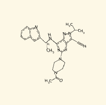 CC(=O)N1CCN(c2nc(N[C@H](C)c3cnc4ccccc4c3)c3nn(C(C)C)c(C#N)c3n2)CC1